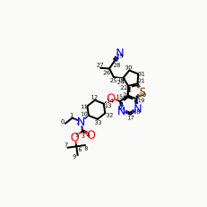 CCN(C(=O)OC(C)(C)C)[C@H]1CC[C@H](Oc2ncnc3sc4c(c23)[C@@H](CC(C)C#N)CC4)CC1